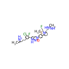 C=C[C@H](N)CCCc1cc(Cl)c(F)c(-c2cc3cn(-c4ccc([C@@H]5CCC[C@@H](CCNC(C)=N)N5CCCF)c(SC)c4)c(=O)nc3[nH]2)c1